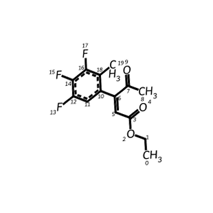 CCOC(=O)C=C(C(C)=O)c1cc(F)c(F)c(F)c1C